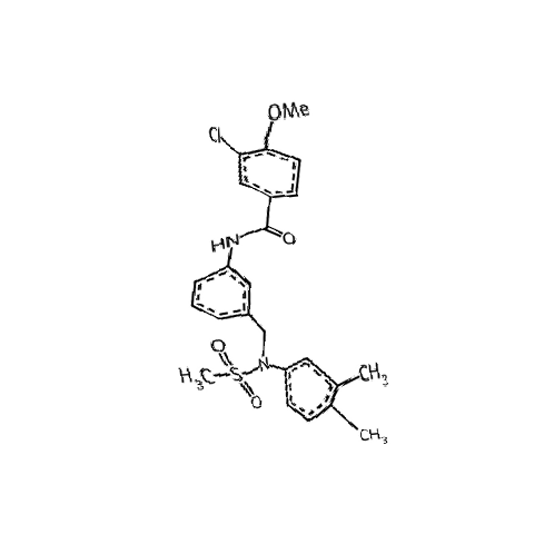 COc1ccc(C(=O)Nc2cccc(CN(c3ccc(C)c(C)c3)S(C)(=O)=O)c2)cc1Cl